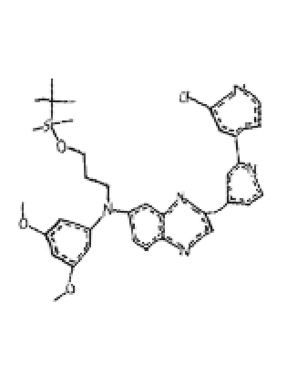 COc1cc(OC)cc(N(CCCO[Si](C)(C)C(C)(C)C)c2ccc3ncc(-c4ccnc(-c5ccnc(Cl)c5)c4)nc3c2)c1